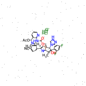 CC(=O)OC(c1cccnc1NC(=O)OCCC([n+]1cn[nH]c1)[C@@](O)(c1ccc(F)cc1F)[C@H](C)c1nc(-c2ccc(C#N)cc2)cs1)N(C)C.Cl.Cl.[Cl-]